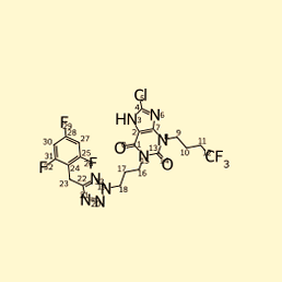 O=c1c2[nH]c(Cl)nc2n(CCCC(F)(F)F)c(=O)n1CCCn1nnc(Cc2c(F)cc(F)cc2F)n1